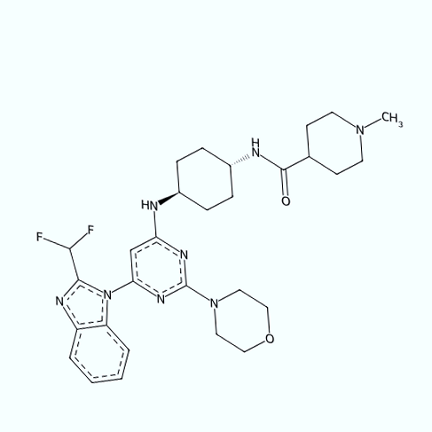 CN1CCC(C(=O)N[C@H]2CC[C@H](Nc3cc(-n4c(C(F)F)nc5ccccc54)nc(N4CCOCC4)n3)CC2)CC1